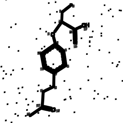 CCC(Oc1ccc(CCC(C)=O)cc1)C(=O)O